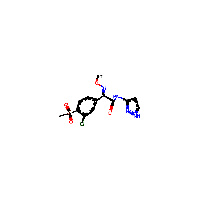 CC(C)O/N=C(/C(=O)Nc1cc[nH]n1)c1ccc(S(C)(=O)=O)c(Cl)c1